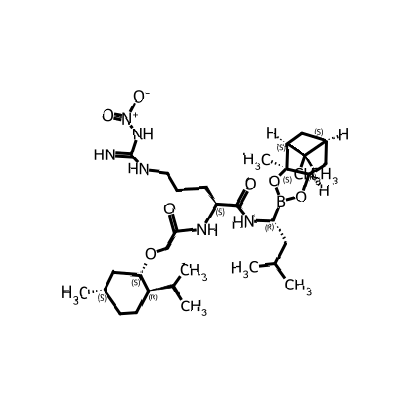 CC(C)C[C@H](NC(=O)[C@H](CCCNC(=N)N[N+](=O)[O-])NC(=O)CO[C@H]1C[C@@H](C)CC[C@@H]1C(C)C)B1O[C@@H]2C[C@@H]3C[C@@H](C3(C)C)[C@]2(C)O1